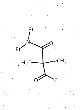 CCN(CC)C(=O)C(C)(C)C(=O)Cl